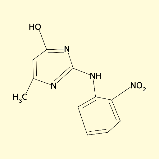 Cc1cc(O)nc(Nc2ccccc2[N+](=O)[O-])n1